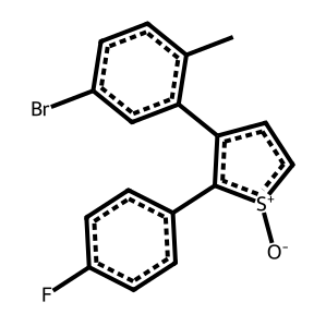 Cc1ccc(Br)cc1-c1cc[s+]([O-])c1-c1ccc(F)cc1